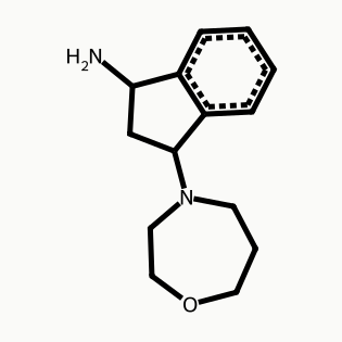 NC1CC(N2CCCOCC2)c2ccccc21